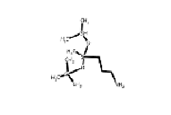 C[SiH](C)O[Si](C)(CCCN)O[Si](C)(C)C